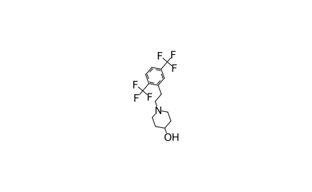 OC1CCN(CCc2cc(C(F)(F)F)ccc2C(F)(F)F)CC1